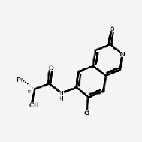 CC(C)[C@@H](O)C(=O)Nc1cc2c(cc1Cl)=C[N]C(=O)C=2